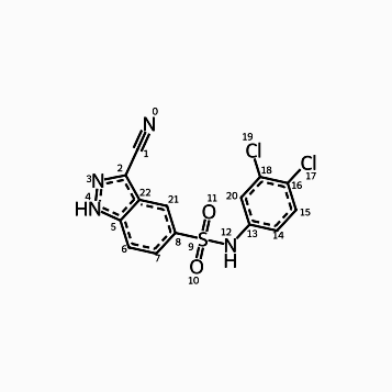 N#Cc1n[nH]c2ccc(S(=O)(=O)Nc3ccc(Cl)c(Cl)c3)cc12